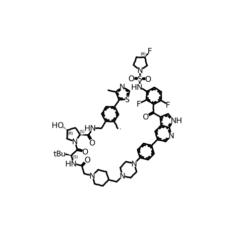 [CH2]c1cc(-c2scnc2C)ccc1CNC(=O)[C@@H]1C[C@@H](O)CN1C(=O)[C@@H](NC(=O)CN1CCC(CN2CCN(c3ccc(-c4cnc5[nH]cc(C(=O)c6c(F)ccc(NS(=O)(=O)N7CC[C@@H](F)C7)c6F)c5c4)cc3)CC2)CC1)C(C)(C)C